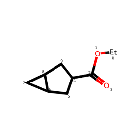 CCOC(=O)C1CC2CC2C1